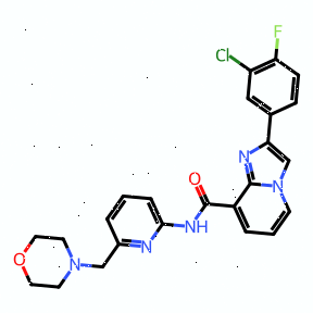 O=C(Nc1cccc(CN2CCOCC2)n1)c1cccn2cc(-c3ccc(F)c(Cl)c3)nc12